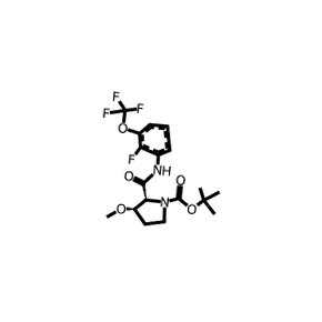 CO[C@@H]1CCN(C(=O)OC(C)(C)C)[C@@H]1C(=O)Nc1cccc(OC(F)(F)F)c1F